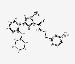 O=C(NCCc1cccc(C(F)(F)F)c1)c1sc(-c2ncccc2CN2CCOCC2)nc1C(F)(F)F